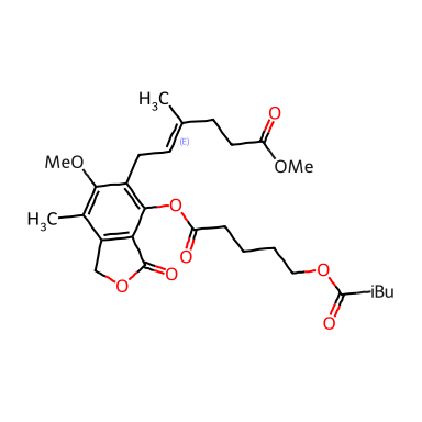 CCC(C)C(=O)OCCCCC(=O)Oc1c(C/C=C(\C)CCC(=O)OC)c(OC)c(C)c2c1C(=O)OC2